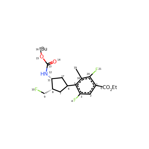 CCOC(=O)c1cc(F)c(C2C[C@H](CF)[C@H](NC(=O)OC(C)(C)C)C2)c(C)c1F